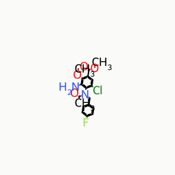 COC(=O)c1cc(Cl)c(N(Cc2ccc(F)cc2)C(C)=O)c(N)c1OC